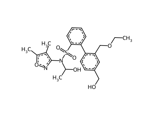 CCOCc1cc(CO)ccc1-c1ccccc1S(=O)(=O)N(c1noc(C)c1C)C(C)O